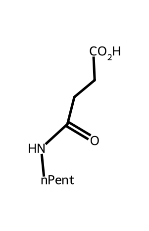 CCCCCNC(=O)CCC(=O)O